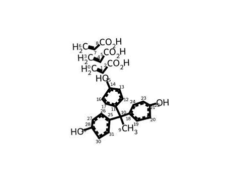 C=CC(=O)O.C=CC(=O)O.C=CC(=O)O.CC(c1ccc(O)cc1)(c1ccc(O)cc1)c1ccc(O)cc1